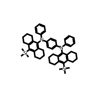 C[Si](C)(C)c1c2c(c(N(c3ccccc3)c3ccc(N(c4ccccc4)c4c5c(c([Si](C)(C)C)c6c4CCCC6)CCCC5)cc3)c3c1CCCC3)CCCC2